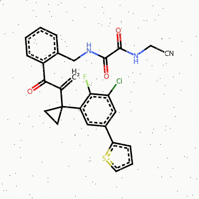 C=C(C(=O)c1ccccc1CNC(=O)C(=O)NCC#N)C1(c2cc(-c3cccs3)cc(Cl)c2F)CC1